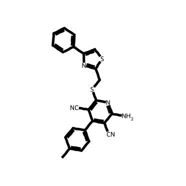 Cc1ccc(-c2c(C#N)c(N)nc(SCc3nc(-c4ccccc4)cs3)c2C#N)cc1